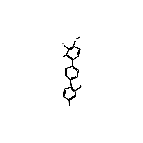 COc1ccc(-c2ccc(-c3ccc(C)cc3F)cc2)c(F)c1F